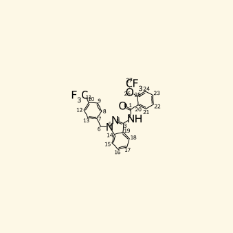 O=C(Nc1nn(Cc2ccc(C(F)(F)F)cc2)c2ccccc12)c1ccccc1OC(F)(F)F